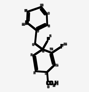 O=C(O)C1C=CC(F)(Cc2ccccn2)C(F)=C1